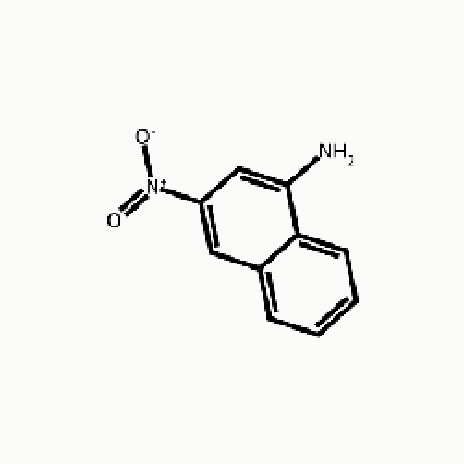 Nc1cc([N+](=O)[O-])cc2ccccc12